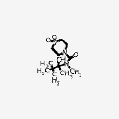 CN(C(=O)N1CCS(=O)(=O)CC1)C(C)(C)C(C)(C)C